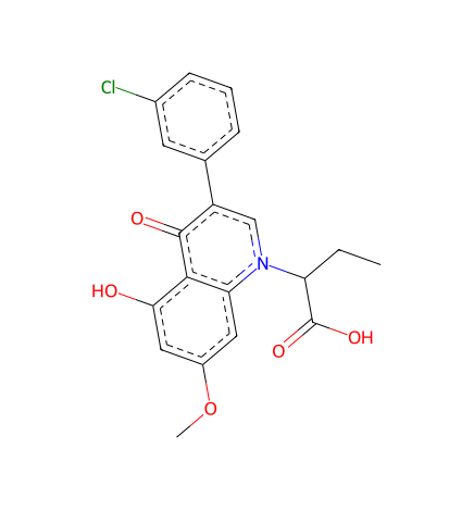 CCC(C(=O)O)n1cc(-c2cccc(Cl)c2)c(=O)c2c(O)cc(OC)cc21